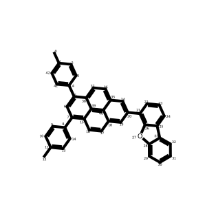 Cc1ccc(-c2cc(-c3ccc(C)cc3)c3ccc4cc(-c5cccc6c5oc5ccccc56)cc5ccc2c3c54)cc1